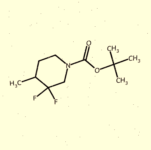 CC1CCN(C(=O)OC(C)(C)C)CC1(F)F